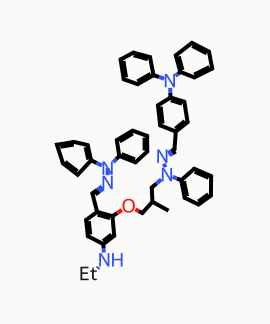 CCNc1ccc(/C=N/N(c2ccccc2)c2ccccc2)c(OCC(C)CN(/N=C/c2ccc(N(c3ccccc3)c3ccccc3)cc2)c2ccccc2)c1